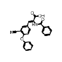 N#Cc1cc(C=C(NC(=O)c2ccccc2)C(=O)O)ccc1Oc1ccccc1